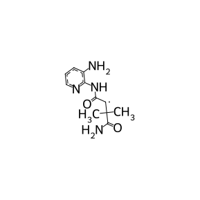 CC(C)([CH]C(=O)Nc1ncccc1N)C(N)=O